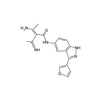 CC(=N)/C(C(=O)Nc1ccc2[nH]nc(-c3ccoc3)c2c1)=C(/C)N